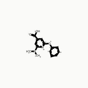 CN(C)c1cc(C(=O)O)cc(Oc2ccccc2)n1